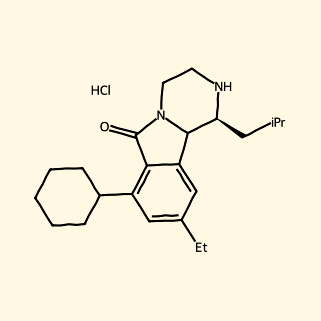 CCc1cc(C2CCCCC2)c2c(c1)C1[C@H](CC(C)C)NCCN1C2=O.Cl